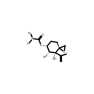 C=C(C)[C@@]1(O)[C@H](Br)[C@H](OC(=O)N(Cl)C(C)=O)CC[C@]12CO2